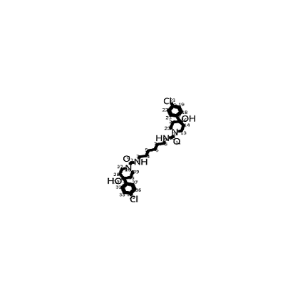 O=C(NCCCCCCNC(=O)N1CCC(O)(c2ccc(Cl)cc2)CC1)N1CCC(O)(c2ccc(Cl)cc2)CC1